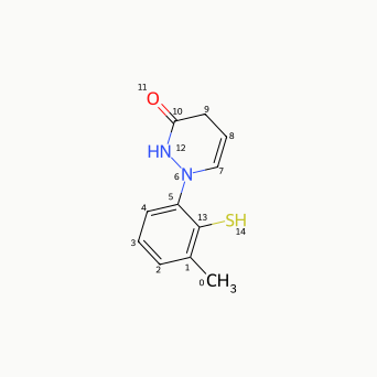 Cc1cccc(N2C=CCC(=O)N2)c1S